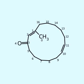 C/C1=C\C(=O)CCCCC/C=C\CCCCC1